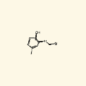 Cc1ccc(O)c(OCBr)c1